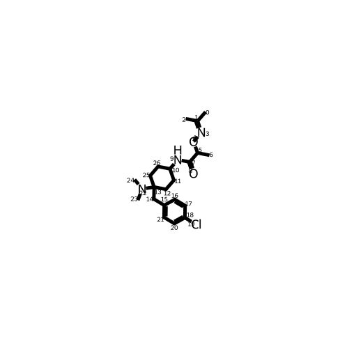 CC(C)=NOC(C)C(=O)NC1CCC(Cc2ccc(Cl)cc2)(N(C)C)CC1